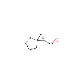 O=[C]C1CC12CCCC2